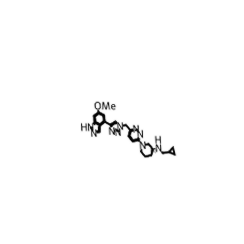 COc1cc(-c2cn(Cc3ccc(N4CCC[C@@H](NCC5CC5)C4)nn3)nn2)c2cn[nH]c2c1